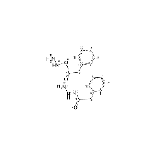 NNOC(=O)Cc1ccccc1.NNOC(=O)Cc1ccccc1